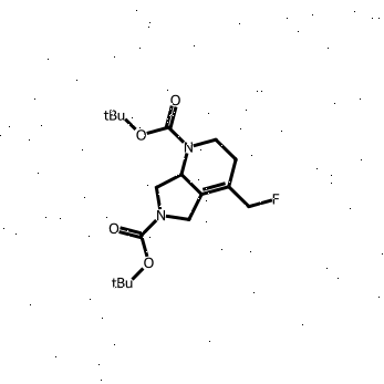 CC(C)(C)OC(=O)N1CC2=C(CF)CCN(C(=O)OC(C)(C)C)C2C1